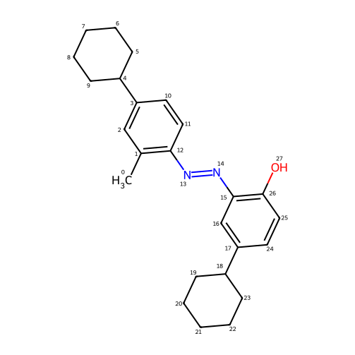 Cc1cc(C2CCCCC2)ccc1N=Nc1cc(C2CCCCC2)ccc1O